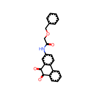 O=C(COCc1ccccc1)Nc1ccc2c(c1)C(=O)C(=O)c1ccccc1-2